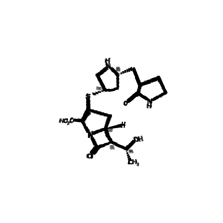 C[C@@H](O)[C@H]1C(=O)N2C(C(=O)O)=C(S[C@@H]3CN[C@H](CC4CCNC4=O)C3)C[C@H]12